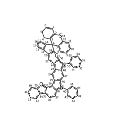 C1=CC2=C(CC1)C1(c3ccccc3S2)c2ccccc2-c2cc3c4cc5c6c7oc8ccccc8c7ccc6n(-c6ccccc6)c5cc4n(-c4ccccc4)c3cc21